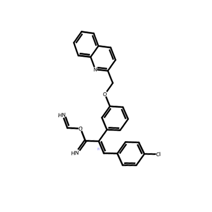 N=COC(=N)/C(=C/c1ccc(Cl)cc1)c1cccc(OCc2ccc3ccccc3n2)c1